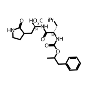 CC(C)C[C@H](NC(=O)OC(C)Cc1ccccc1)C(=O)N[C@@H](CC1CCNC1=O)C(=O)O